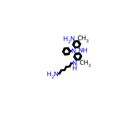 CC1=CC2Nc3cc(C)c(NCCCCCCN)cc3N(c3ccccc3)C2C=C1N